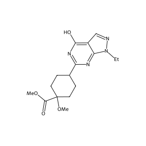 CCn1ncc2c(O)nc(C3CCC(OC)(C(=O)OC)CC3)nc21